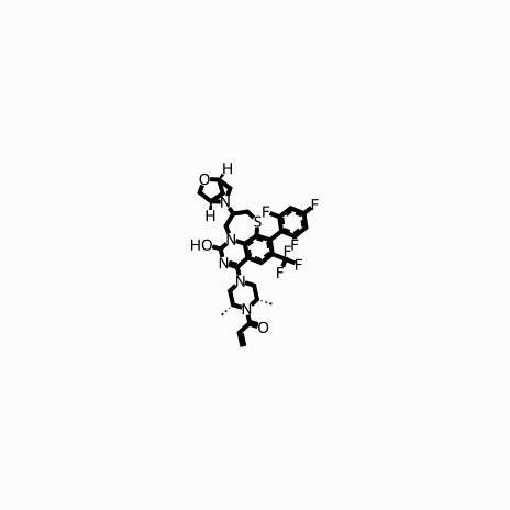 C=CC(=O)N1[C@H](C)CN(C2=NC(O)N3CC(N4C[C@@H]5C[C@H]4CO5)CSc4c(-c5c(F)cc(F)cc5F)c(C(F)(F)F)cc2c43)C[C@@H]1C